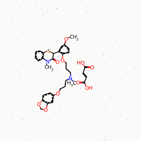 COc1ccc(OCCCN(C)CCCOc2ccc3c(c2)OCO3)c(C2Sc3ccccc3N(C)C2=O)c1.O=C(O)C=CC(=O)O